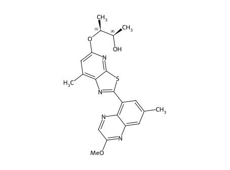 COc1cnc2c(-c3nc4c(C)cc(O[C@@H](C)[C@@H](C)O)nc4s3)cc(C)cc2n1